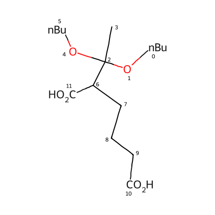 CCCCOC(C)(OCCCC)C(CCCC(=O)O)C(=O)O